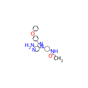 C=CC(=O)NC1CCC(n2nc(-c3ccc(Oc4ccccc4)cc3)c3c(N)nccc32)CC1